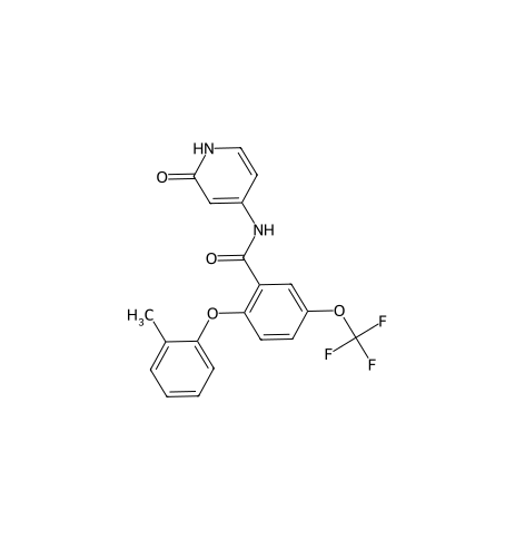 Cc1ccccc1Oc1ccc(OC(F)(F)F)cc1C(=O)Nc1cc[nH]c(=O)c1